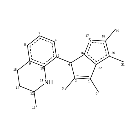 CC1=C(C)C(c2cccc3c2NC(C)CC3)c2sc(C)c(C)c21